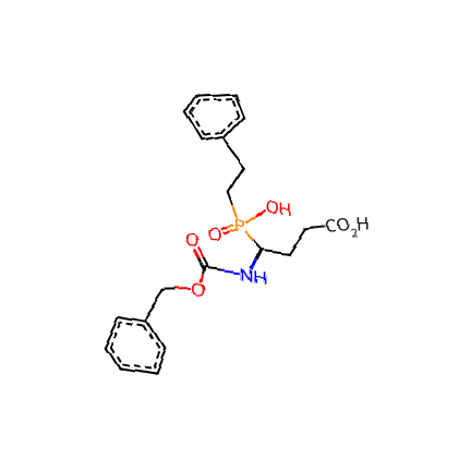 O=C(O)CCC(NC(=O)OCc1ccccc1)P(=O)(O)CCc1ccccc1